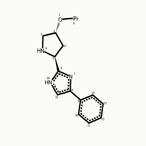 CC(C)O[C@H]1CN[C@H](c2nc(-c3ccccc3)c[nH]2)C1